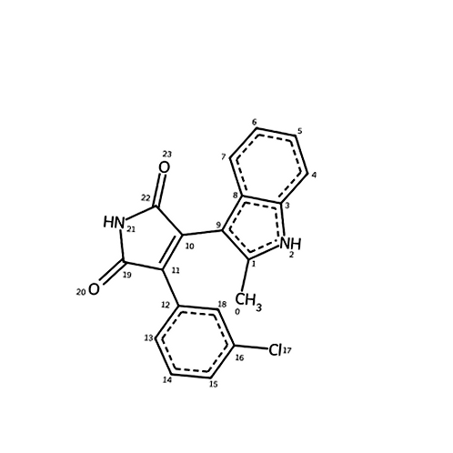 Cc1[nH]c2ccccc2c1C1=C(c2cccc(Cl)c2)C(=O)NC1=O